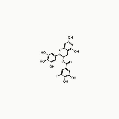 O=C(OC1Cc2c(O)cc(O)cc2O[C@@H]1c1cc(O)c(O)c(O)c1)c1cc(O)c(O)c(F)c1